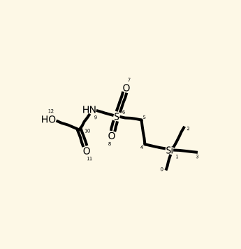 C[Si](C)(C)CCS(=O)(=O)NC(=O)O